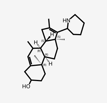 CC1=C(C2CCCCN2)[C@@]2(C)CC[C@@H]3[C@@H](C(C)C=C4CC(O)CC[C@@]43C)[C@@H]2C1